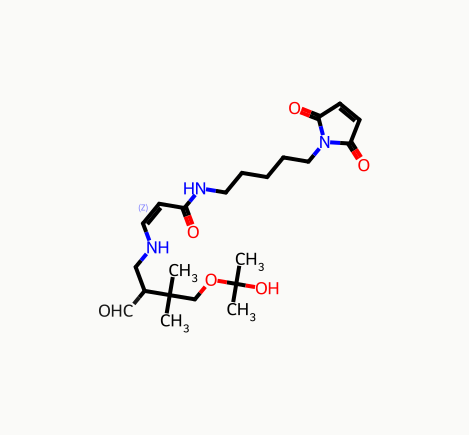 CC(C)(O)OCC(C)(C)C(C=O)CN/C=C\C(=O)NCCCCCN1C(=O)C=CC1=O